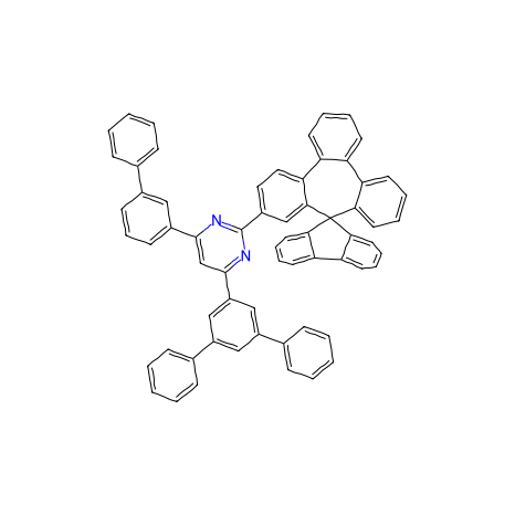 c1ccc(-c2cccc(-c3cc(-c4cc(-c5ccccc5)cc(-c5ccccc5)c4)nc(-c4ccc5c(c4)C4(c6ccccc6-c6ccccc6-5)c5ccccc5-c5ccccc54)n3)c2)cc1